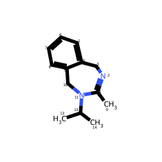 CC1=NCc2ccccc2CN1C(C)C